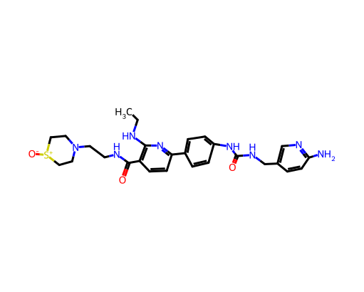 CCNc1nc(-c2ccc(NC(=O)NCc3ccc(N)nc3)cc2)ccc1C(=O)NCCN1CC[S+]([O-])CC1